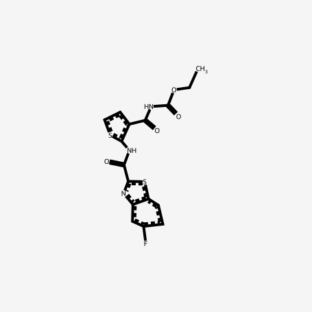 CCOC(=O)NC(=O)c1ccsc1NC(=O)c1nc2cc(F)ccc2s1